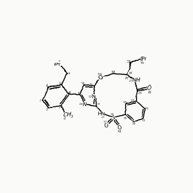 Cc1cccc(CC(C)C)c1-c1cc2nc(n1)NS(=O)(=O)c1cccc(c1)C(=O)N[C@H](CC(C)C)CO2